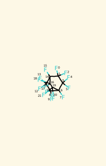 FC1(F)C(F)(F)C2(F)C(F)(F)C(F)(F)C1(F)C(F)(F)C2(F)F